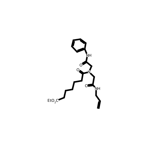 C=CCNC(=O)CN(CC(=O)Nc1ccccc1)C(=O)CCCCCC(=O)OCC